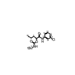 CC(C)(C)NC(=O)OC(CCI)C(=O)Nc1ccnc(Cl)c1